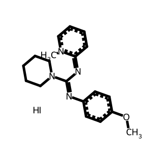 COc1ccc(/N=C(\N=c2\ccccn2C)N2CCCCC2)cc1.I